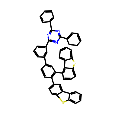 C1=CCCC(c2nc(-c3ccccc3)nc(-c3cccc(-c4ccc(-c5ccc6sc7ccccc7c6c5)c(-c5cccc6sc7ccccc7c56)c4)c3)n2)=C1